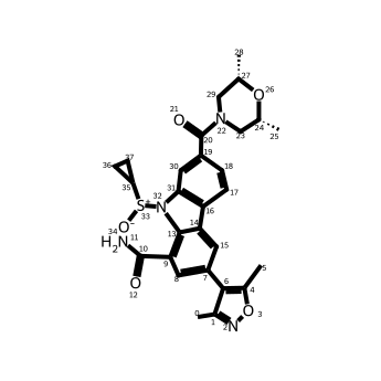 Cc1noc(C)c1-c1cc(C(N)=O)c2c(c1)c1ccc(C(=O)N3C[C@@H](C)O[C@@H](C)C3)cc1n2[S+]([O-])C1CC1